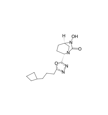 O=C1N(O)[C@@H]2CC[C@@H](c3nnc(CCCC4CCC4)o3)N1C2